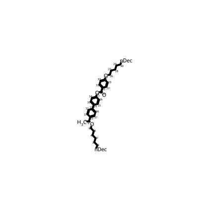 CCCCCCCCCCCCCCCCOC(C)c1ccc(-c2ccc(OC(=O)c3ccc(OCCCCCCCCCCCCCCC)cc3)cc2)cc1